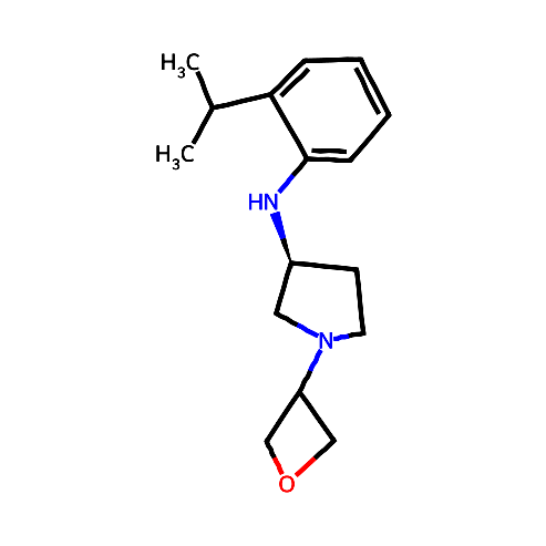 CC(C)c1ccccc1N[C@H]1CCN(C2COC2)C1